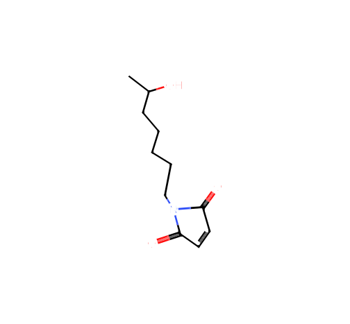 CC(O)CCCCCN1C(=O)C=CC1=O